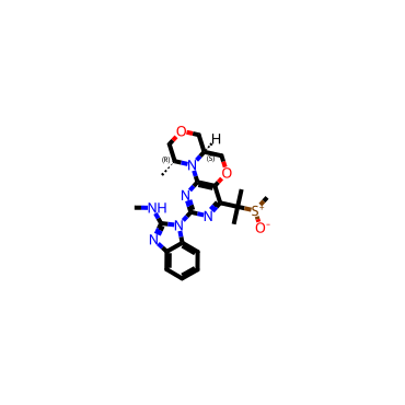 CNc1nc2ccccc2n1-c1nc2c(c(C(C)(C)[S+](C)[O-])n1)OC[C@@H]1COC[C@@H](C)N21